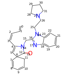 C=C/C=C\C1=CC2(C=CC=CC2)C(=O)N1Cc1nc2ccccc2n1CCN1CCCC1